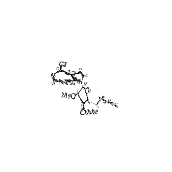 CO[C@@H]1[C@H](OC)[C@@H](CN=[N+]=[N-])O[C@H]1n1ccc2c(Cl)ncnc21